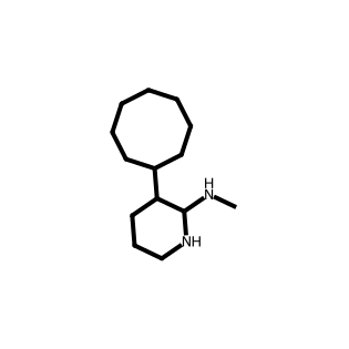 CNC1NCCCC1C1CCCCCCC1